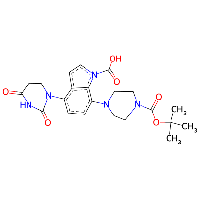 CC(C)(C)OC(=O)N1CCN(c2ccc(N3CCC(=O)NC3=O)c3ccn(C(=O)O)c23)CC1